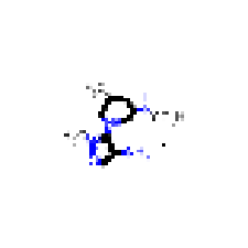 Cn1ncc(N)c1N1C[C@H](NC(=O)O)C[C@@H](C(F)(F)F)C1